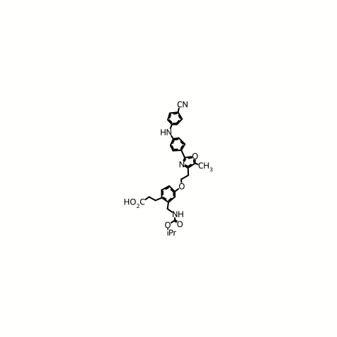 Cc1oc(-c2ccc(Nc3ccc(C#N)cc3)cc2)nc1CCOc1ccc(CCC(=O)O)c(CNC(=O)OC(C)C)c1